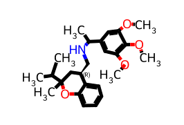 COc1cc(C(C)NC[C@@H]2CC(C)(C(C)C)Oc3ccccc32)cc(OC)c1OC